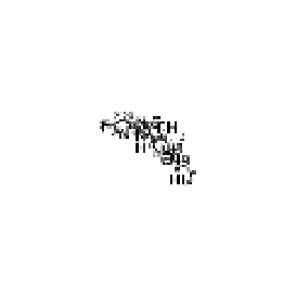 C[C@H]1CN(S(=O)(=O)N2CC(CO)C2)CC=C1c1[nH]c(-c2ccc(F)cn2)nc1Cl